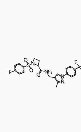 Cc1nn(-c2ccc(C(F)(F)F)cc2)cc1CNC(=O)[C@@H]1CCN1S(=O)(=O)c1ccc(F)cc1